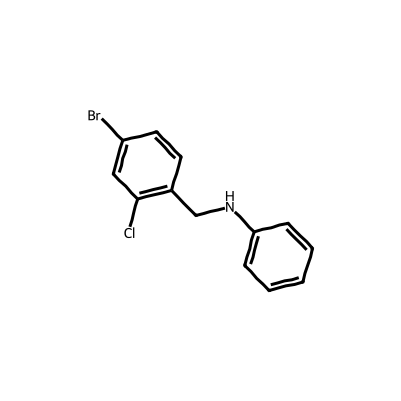 Clc1cc(Br)ccc1CNc1ccccc1